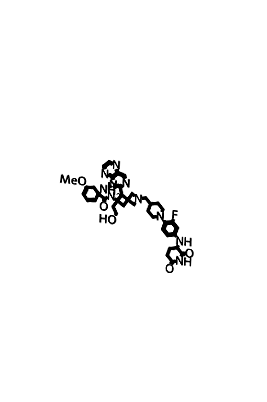 COC1=CC=CC(N)(C(=O)NC2(CCO)CC3(CN(CC4CCN(c5ccc(NC6CCC(=O)NC6=O)cc5F)CC4)C3)C2c2ncc3nccnc3n2)C1